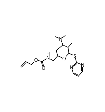 C=CCOC(=O)NCC1CC(N(C)C)C(C)C(Sc2ncccn2)O1